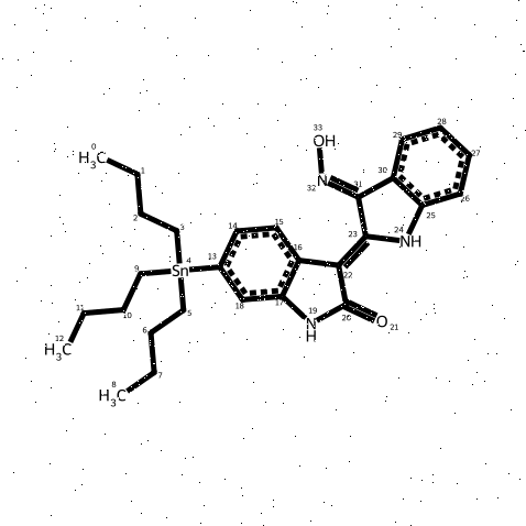 CCC[CH2][Sn]([CH2]CCC)([CH2]CCC)[c]1ccc2c(c1)NC(=O)C2=C1Nc2ccccc2C1=NO